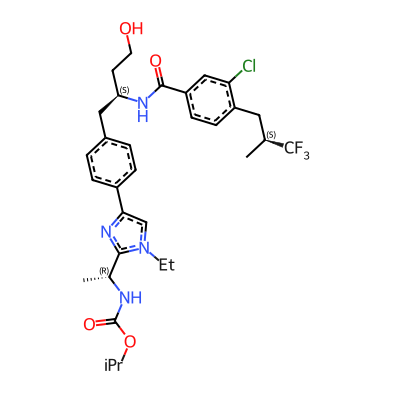 CCn1cc(-c2ccc(C[C@@H](CCO)NC(=O)c3ccc(C[C@H](C)C(F)(F)F)c(Cl)c3)cc2)nc1[C@@H](C)NC(=O)OC(C)C